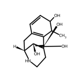 CC1C2=C(C=CC1O)C[C@H]1NCCC23C(O)[C@H](O)CC[C@@]13O